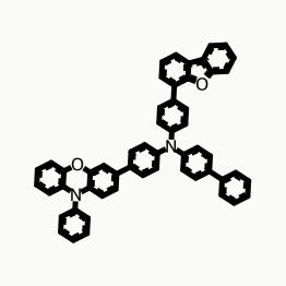 c1ccc(-c2ccc(N(c3ccc(-c4ccc5c(c4)Oc4ccccc4N5c4ccccc4)cc3)c3ccc(-c4cccc5c4oc4ccccc45)cc3)cc2)cc1